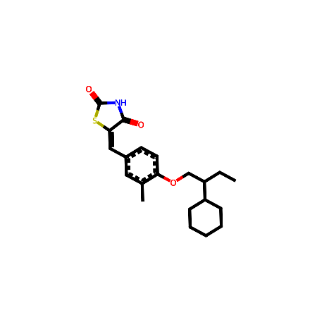 CCC(COc1ccc(C=C2SC(=O)NC2=O)cc1C)C1CCCCC1